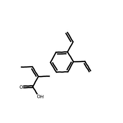 C=Cc1ccccc1C=C.CC=C(C)C(=O)O